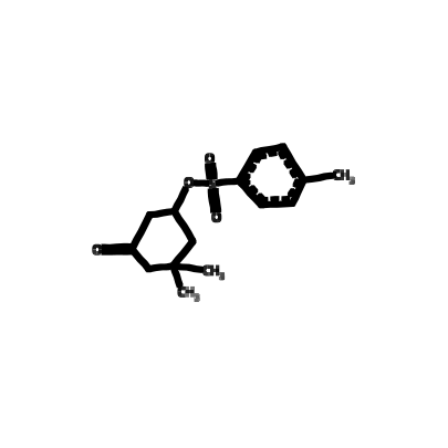 Cc1ccc(S(=O)(=O)OC2CC(=O)CC(C)(C)C2)cc1